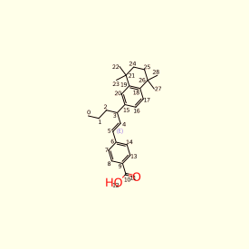 CCCC(/C=C/c1ccc(C(=O)O)cc1)c1ccc2c(c1)C(C)(C)CCC2(C)C